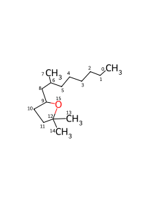 CCCCCCC(C)CC1CCC(C)(C)O1